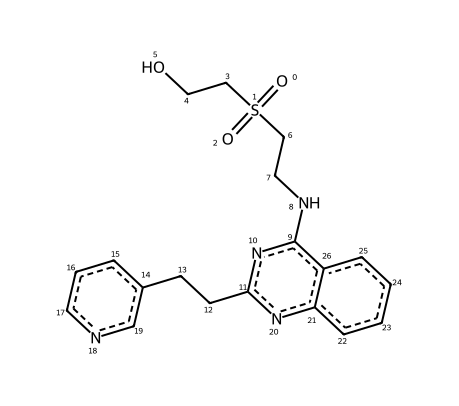 O=S(=O)(CCO)CCNc1nc(CCc2cccnc2)nc2ccccc12